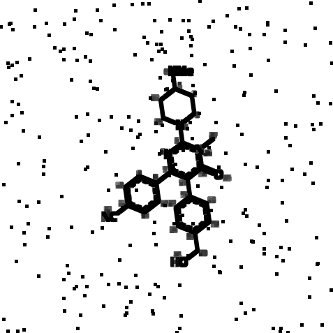 CNC1CCN(c2nc(-c3ccc(C#N)cc3)c(-c3ccc(CO)cc3)c(=O)n2C)CC1